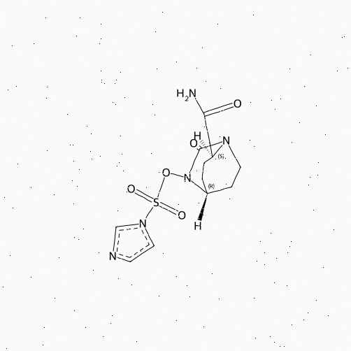 NC(=O)[C@@H]1CC[C@@H]2CCN1C(=O)N2OS(=O)(=O)n1ccnc1